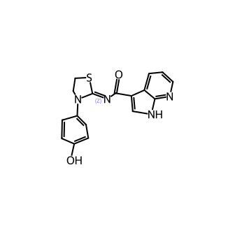 O=C(/N=C1\SCCN1c1ccc(O)cc1)c1c[nH]c2ncccc12